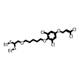 CCSC(COCCCCCOc1c(Cl)cc(OCC=C(Cl)Cl)cc1Cl)SCC